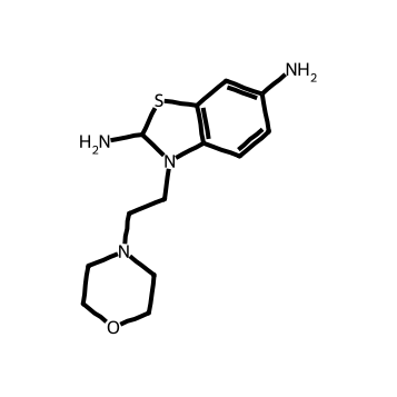 Nc1ccc2c(c1)SC(N)N2CCN1CCOCC1